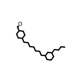 CCCCC1CCCC(CCCCCCCC2CCC(C=O)CC2)C1